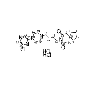 Cl.Cl.O=C1CC2(CCCC2)CC(=O)N1CCCCN1CCN(c2cncc(Cl)n2)CC1